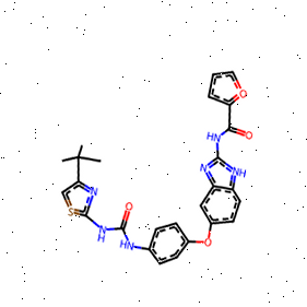 CC(C)(C)c1csc(NC(=O)Nc2ccc(Oc3ccc4[nH]c(NC(=O)c5ccco5)nc4c3)cc2)n1